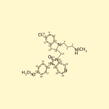 CNCCCN1c2ccc(Cl)cc2CC1Cn1c(=O)n(-c2ccc(OC)cc2)c2ccncc21